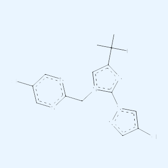 FC(F)(F)c1cn(Cc2ncc(Cl)cn2)c(-n2cc(Cl)cn2)n1